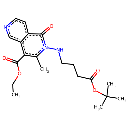 CCOC(=O)c1c(C)n(NCCCC(=O)OC(C)(C)C)c(=O)c2ccncc12